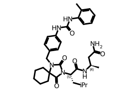 Cc1ccccc1NC(=O)Nc1ccc(CN2C(=O)N([C@@H](CC(C)C)C(=O)N[C@H](C)CC(N)=O)C(=O)C23CCCCC3)cc1